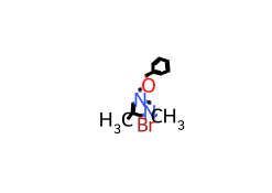 CC1=CN(COCc2ccccc2)CN(C)C1Br